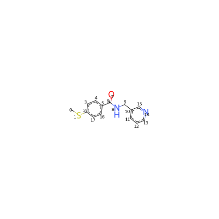 CSc1ccc(C(=O)NCc2cccnc2)cc1